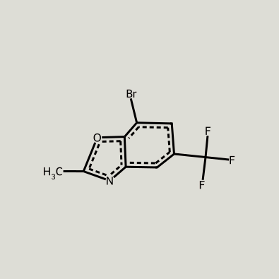 Cc1nc2cc(C(F)(F)F)cc(Br)c2o1